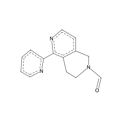 O=CN1CCc2c(ccnc2-c2ccccn2)C1